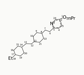 CCCOc1ccc(CCC2CCC(CCC3CCC(CC)CC3)CC2)nc1